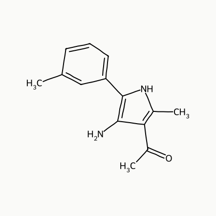 CC(=O)c1c(C)[nH]c(-c2cccc(C)c2)c1N